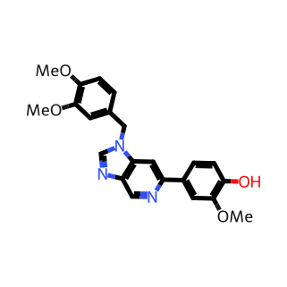 COc1cc(-c2cc3c(cn2)ncn3Cc2ccc(OC)c(OC)c2)ccc1O